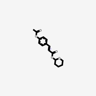 CC(=O)Oc1ccc(/C=C/C(=O)OC2CCCCO2)cc1